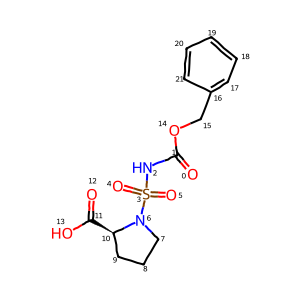 O=C(NS(=O)(=O)N1CCC[C@H]1C(=O)O)OCc1ccccc1